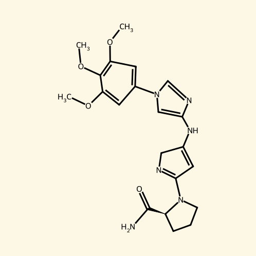 COc1cc(-n2cnc(NC3=CC(N4CCC[C@H]4C(N)=O)=NC3)c2)cc(OC)c1OC